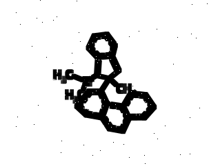 [CH3][Zr]([CH3])[C]1=c2ccccc2=CC1(C)c1cccc2ccc3ccccc3c12